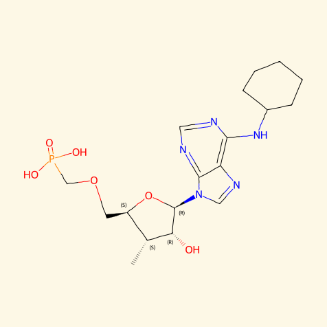 C[C@H]1[C@@H](O)[C@H](n2cnc3c(NC4CCCCC4)ncnc32)O[C@@H]1COCP(=O)(O)O